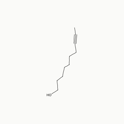 CC#CCCCCCCCO